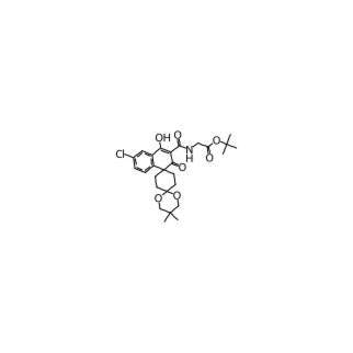 CC1(C)COC2(CCC3(CC2)C(=O)C(C(=O)NCC(=O)OC(C)(C)C)=C(O)c2cc(Cl)ccc23)OC1